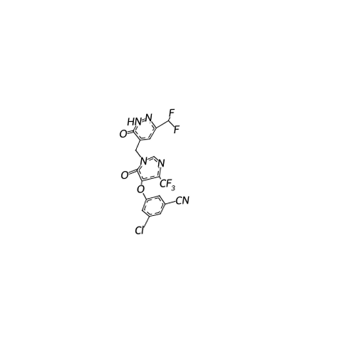 N#Cc1cc(Cl)cc(Oc2c(C(F)(F)F)ncn(Cc3cc(C(F)F)n[nH]c3=O)c2=O)c1